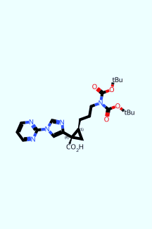 CC(C)(C)OC(=O)N(CCC[C@H]1C[C@]1(C(=O)O)c1cn(-c2ncccn2)cn1)C(=O)OC(C)(C)C